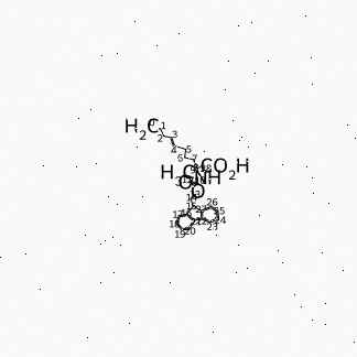 C=CC/C=C/CCC[C@@](C)(NC(=O)OCC1c2ccccc2-c2ccccc21)C(=O)O